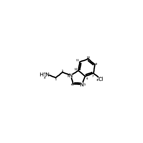 NCCn1[c]nc2c(Cl)cccc21